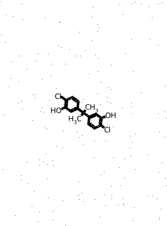 CC(C)(c1ccc(Cl)c(O)c1)c1ccc(Cl)c(O)c1